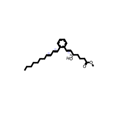 CCCCCCC/C=C/C=C/c1ccccc1/C=C/[C@@H](O)CCCC(=O)OC